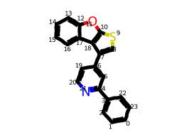 c1ccc(-c2cc(-c3csc4oc5ccccc5c34)ccn2)cc1